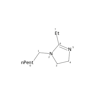 CCCCCCN1CCN=C1CC